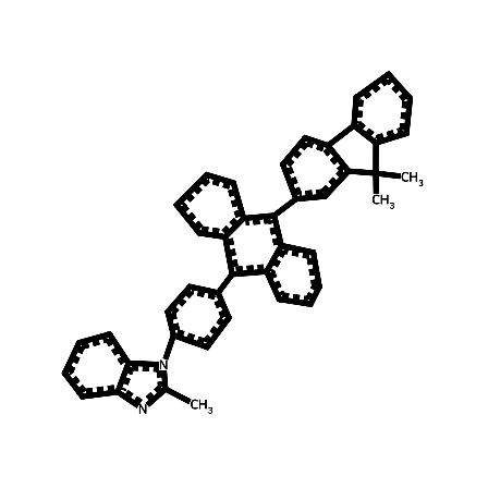 Cc1nc2ccccc2n1-c1ccc(-c2c3ccccc3c(-c3ccc4c(c3)C(C)(C)c3ccccc3-4)c3ccccc23)cc1